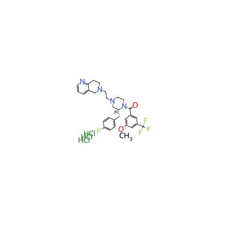 COc1cc(C(=O)N2CCN(CCN3CCc4ncccc4C3)C[C@H]2Cc2ccc(F)cc2)cc(C(F)(F)F)c1.Cl.Cl.Cl